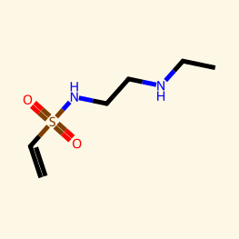 C=CS(=O)(=O)NCCNCC